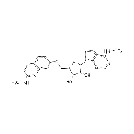 CNc1ccc2ccc(OC[C@H]3CC(n4ccc5c(NC)ncnc54)[C@H](O)[C@@H]3O)cc2n1